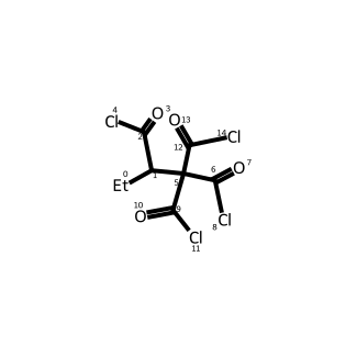 CCC(C(=O)Cl)C(C(=O)Cl)(C(=O)Cl)C(=O)Cl